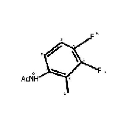 CC(=O)Nc1ccc(F)c(F)c1C